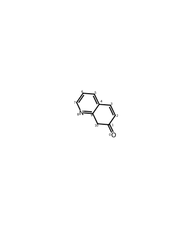 O=C1C=Cc2cccnc2C1